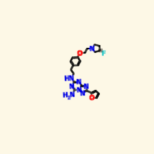 Nc1nc(NCCc2ccc(OCCN3CC[C@H](F)C3)cc2)nc2nc(-c3ccco3)nn12